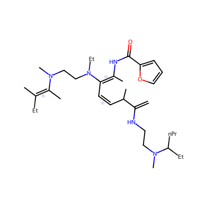 C=C(NCCN(C)C(CC)CCC)C(C)/C=C\C(=C(/C)NC(=O)c1ccco1)N(CC)CCN(C)/C(C)=C(\C)CC